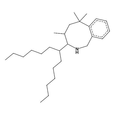 CCCCCCC(CCCCCC)C1NCc2ccccc2C(C)(C)CC1C